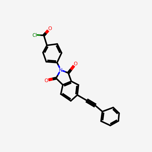 O=C(Cl)c1ccc(N2C(=O)c3ccc(C#Cc4ccccc4)cc3C2=O)cc1